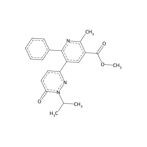 COC(=O)c1cc(-c2ccc(=O)n(C(C)C)n2)c(-c2ccccc2)nc1C